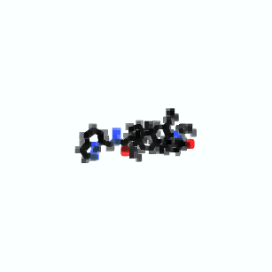 CC1=C2N(C)C(=O)CC[C@]2(C)[C@@H]2CC[C@]3(C)C(C(=O)NCc4cccc5ccnn45)CC[C@H]3[C@@H]2C1